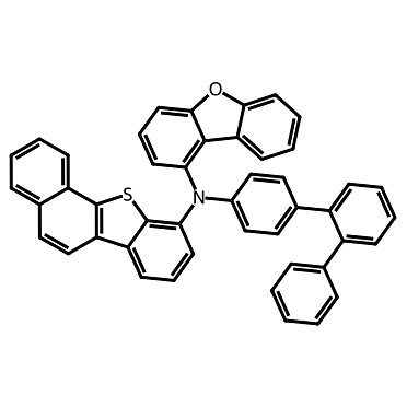 c1ccc(-c2ccccc2-c2ccc(N(c3cccc4c3sc3c5ccccc5ccc43)c3cccc4oc5ccccc5c34)cc2)cc1